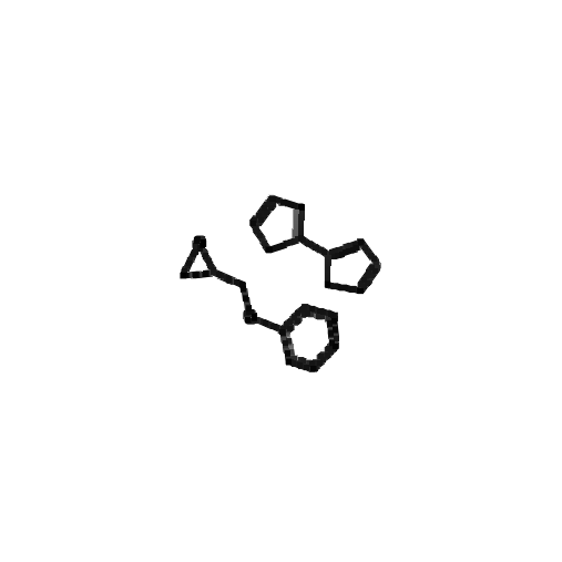 C1=CCC(C2=CC=CC2)=C1.c1ccc(OCC2CO2)cc1